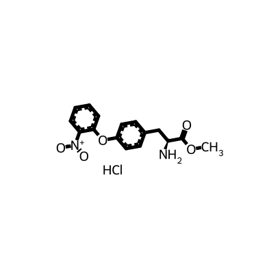 COC(=O)[C@@H](N)Cc1ccc(Oc2ccccc2[N+](=O)[O-])cc1.Cl